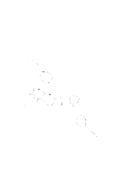 C#Cc1cccc(-c2cc(=O)n(C)c3ccc(S(=O)(=O)c4cncn4Cc4ccc(C#N)cc4)cc23)c1